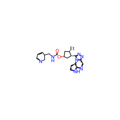 CC[C@@H]1C[C@H](OC(=O)NCC2C=CC=NC2)C[C@@H]1c1nnc2cnc3[nH]ccc3n12